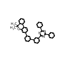 CC1(C)Oc2cc(-c3cccc(-c4cccc(-c5nc(-c6ccccc6)nc(-c6ccccc6)n5)c4)c3)ccc2-c2ccccc21